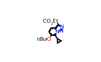 CCCCOc1ccc2c(C(=O)OCC)nnn2c1C1CC1